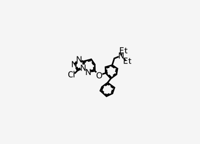 CCN(CC)Cc1ccc(-c2ccccc2)c(Oc2ccc3nnc(Cl)n3n2)c1